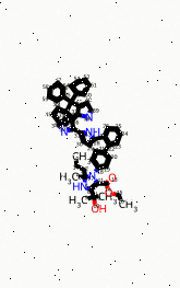 CCCC1(C)NC(C(C)(C)O)=C(C(=O)OCC)N1c1ccc(-c2ccccc2-c2ccc(C3=NC=CC3=C3N=CC=C3C(c3ccccc3)(c3ccccc3)c3ccccc3)[nH]2)cc1